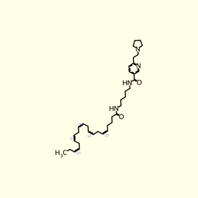 CC/C=C\C/C=C\C/C=C\C/C=C\C/C=C\CCCC(=O)NCCCCCNC(=O)c1ccc(CCN2CCCC2)nc1